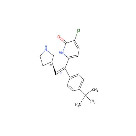 CC(C)(C)c1ccc(/C(=C/[C@H]2CCNC2)c2ccc(Cl)c(=O)[nH]2)cc1